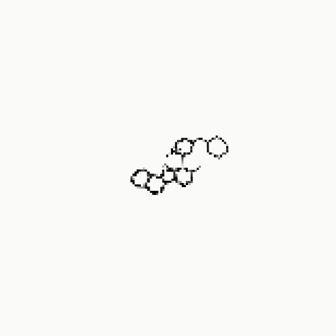 Cc1ccc2c(oc3c4ccccc4ccc23)c1-c1cc(CC2CCCCC2)cc[n+]1C